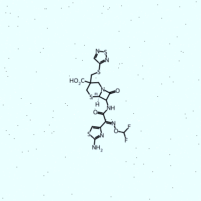 Nc1nc(C(=NOC(F)F)C(=O)NC2C(=O)N3CC(CSc4cnsn4)(C(=O)O)CS[C@H]23)cs1